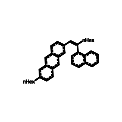 CCCCCCC(=Cc1ccc2cc3cc(CCCCCC)ccc3cc2c1)c1cccc2ccccc12